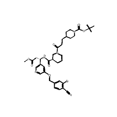 COC(=O)C[C@H](NC(=O)[C@@H]1CCCN(C(=O)CCC2CCN(C(=O)OC(C)(C)C)CC2)C1)c1cncc(OCc2ccc(C#N)c(Br)c2)c1